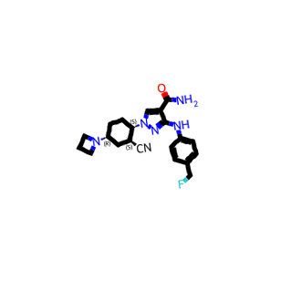 N#C[C@H]1C[C@H](N2CCC2)CC[C@@H]1n1cc(C(N)=O)c(Nc2ccc(CF)cc2)n1